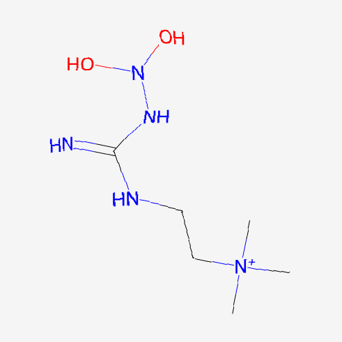 C[N+](C)(C)CCNC(=N)NN(O)O